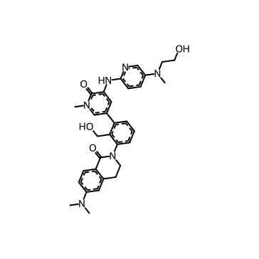 CN(C)c1ccc2c(c1)CCN(c1cccc(-c3cc(Nc4ccc(N(C)CCO)cn4)c(=O)n(C)c3)c1CO)C2=O